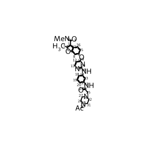 CNC(=O)c1c(C)oc2cc(Oc3ccnc(Nc4cccc(NC(=O)CN5CCN(C(C)=O)CC5)c4)n3)ccc12